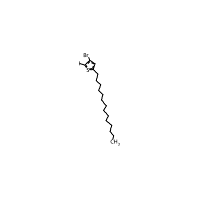 CCCCCCCCCCCCCCc1cc(Br)c(I)s1